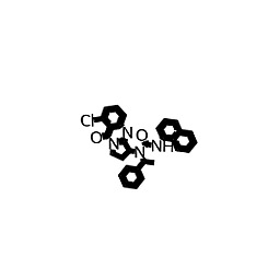 CC(c1ccccc1)N(C(=O)Nc1cccc2ccccc12)C1CCn2c1nc1cccc(Cl)c1c2=O